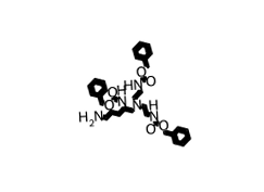 NCCCC(CN(CCNC(=O)OCc1ccccc1)CCNC(=O)OCc1ccccc1)NC(=O)OCc1ccccc1